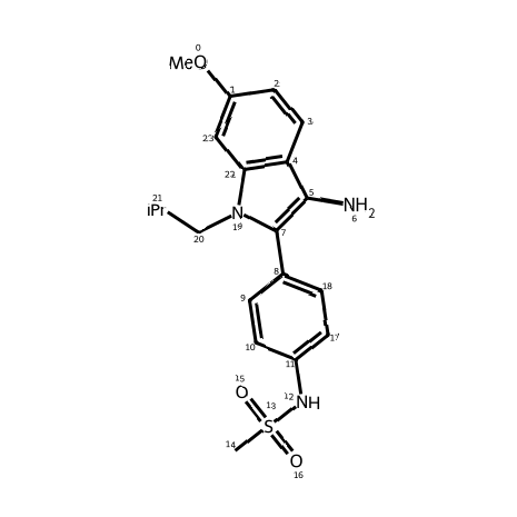 COc1ccc2c(N)c(-c3ccc(NS(C)(=O)=O)cc3)n(CC(C)C)c2c1